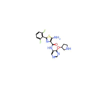 Nc1sc(-c2c(F)cccc2F)nc1C(=O)Nc1cncnc1OC1CCNC1